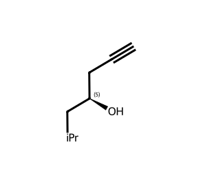 C#CC[C@@H](O)CC(C)C